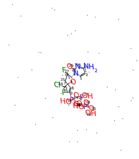 Nc1ccn([C@@H]2O[C@@](/C=C(\F)P(=O)(O)OP(=O)(O)OP(=O)(O)O)(CCl)C[C@H]2F)c(=O)n1